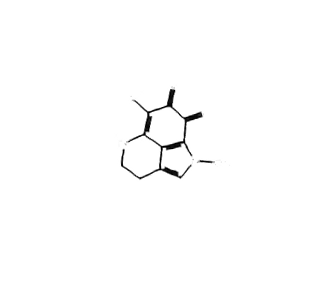 Cn1cc2c3c1C(=O)C(=O)C(Cl)=C3NCC2